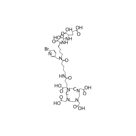 O=C(O)CCC(NC(=O)N[C@@H](CCCCN(Cc1ccc(Br)nc1)C(=O)CCCCNC(=O)CCC(C(=O)O)N1CCN(CC(=O)O)CCN(CC(=O)O)CCN(CC(=O)O)CC1)C(=O)O)C(=O)O